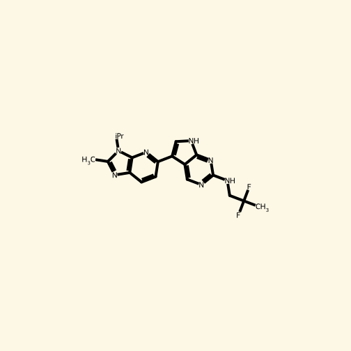 Cc1nc2ccc(-c3c[nH]c4nc(NCC(C)(F)F)ncc34)nc2n1C(C)C